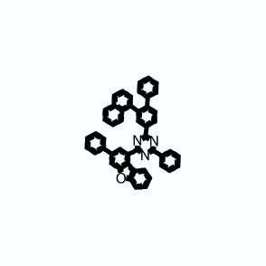 c1ccc(-c2cc(-c3nc(-c4ccccc4)nc(-c4ccc(-c5ccccc5)c(-c5cccc6ccccc56)c4)n3)c3c(c2)oc2ccccc23)cc1